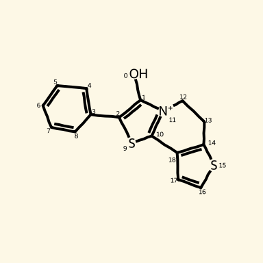 Oc1c(-c2ccccc2)sc2[n+]1CCc1sccc1-2